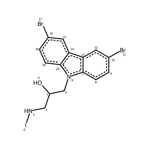 OC(CNI)Cn1c2ccc(Br)cc2c2cc(Br)ccc21